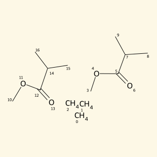 C.C.C.COC(=O)C(C)C.COC(=O)C(C)C